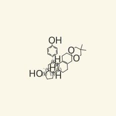 CC1(C)COC2(CCC3=C(CC[C@@H]4[C@@H]3[C@@H](c3ccc(O)cc3)C[C@]3(C)[C@@H](O)CC[C@@H]43)C2)OC1